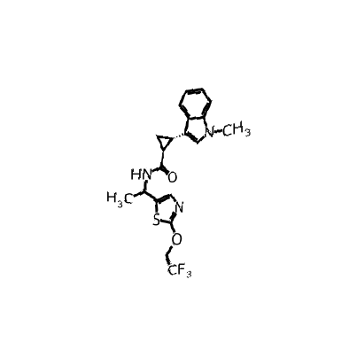 CC(NC(=O)[C@H]1C[C@@H]1c1cn(C)c2ccccc12)c1cnc(OCC(F)(F)F)s1